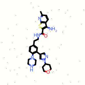 Cc1ccc2c(N)c(C(=O)NCCc3ccc(N4CCNCC4)c(-c4cnn(C5CCOCC5)c4)c3)sc2n1